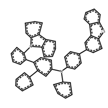 c1ccc(-c2cc(N(c3ccccc3)c3ccc(-c4ccc5sc6ccccc6c5c4)cc3)ccc2-c2ccccc2-n2c3ccccc3c3ccccc32)cc1